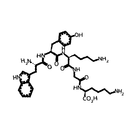 NCCCC[C@H](NC(=O)CNC(=O)[C@H](CCCCN)NC(=O)[C@H](Cc1ccc(O)cc1)NC(=O)[C@@H](N)Cc1c[nH]c2ccccc12)C(=O)O